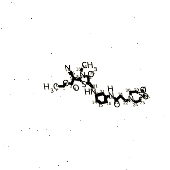 CCOC(=O)C(C#N)=c1sc(=CNc2cccc(NC(=O)CCN3CCS(=O)(=O)CC3)c2)c(=O)n1CC